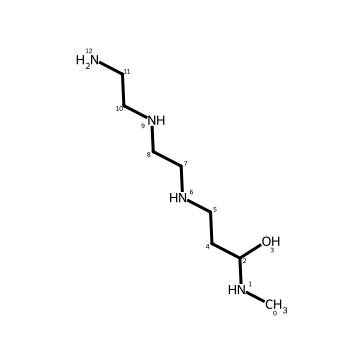 CNC(O)CCNCCNCCN